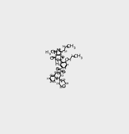 CCCOc1ccc(S(=O)(=O)N(CCN2CCOCC2)Cc2ccccn2)cc1-c1nc2c(CCC)nn(C)c2c(=O)[nH]1